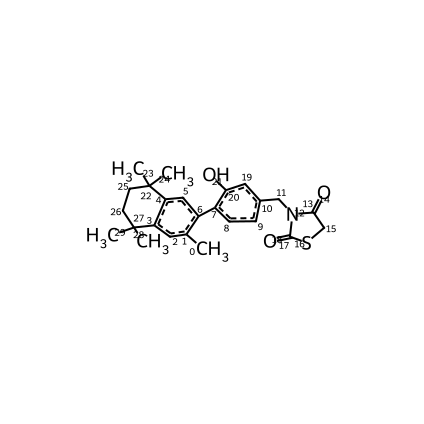 Cc1cc2c(cc1-c1ccc(CN3C(=O)CSC3=O)cc1O)C(C)(C)CCC2(C)C